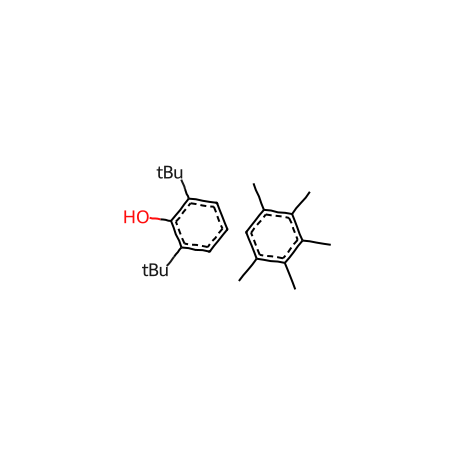 CC(C)(C)c1cccc(C(C)(C)C)c1O.Cc1cc(C)c(C)c(C)c1C